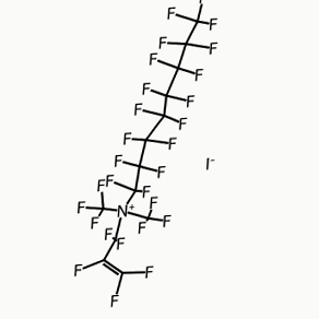 FC(F)=C(F)C(F)(F)[N+](C(F)(F)F)(C(F)(F)F)C(F)(F)C(F)(F)C(F)(F)C(F)(F)C(F)(F)C(F)(F)C(F)(F)C(F)(F)F.[I-]